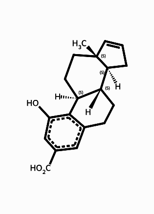 C[C@@]12C=CC[C@H]1[C@@H]1CCc3cc(C(=O)O)cc(O)c3[C@H]1CC2